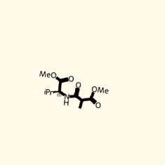 COC(=O)C(C)C(=O)N[C@H](C(=O)OC)C(C)C